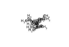 CCCCC(CC)COc1ccc(-c2nc(-c3ccc(OCC(CC)CCCC)c(C)c3O)nc(-c3cn(CC(CC)CCCC)c4ccc(OC)cc34)n2)c(O)c1C